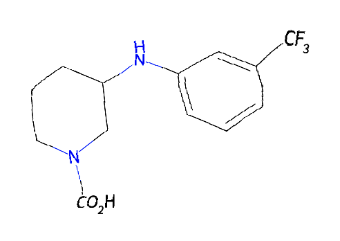 O=C(O)N1CCCC(Nc2cccc(C(F)(F)F)c2)C1